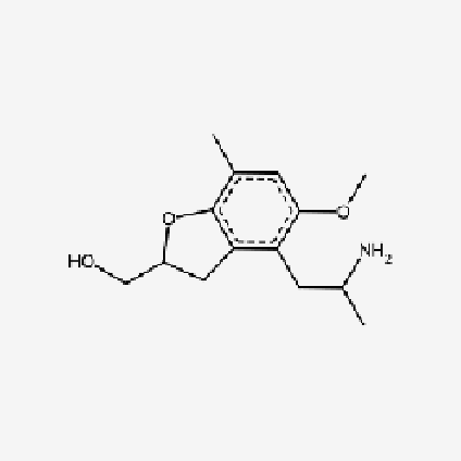 COc1cc(C)c2c(c1CC(C)N)CC(CO)O2